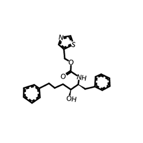 O=C(N[C@@H](Cc1ccccc1)[C@@H](O)CCCc1ccccc1)OCc1cncs1